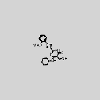 COc1ccccc1N1CC(c2nc(NC3CCCCC3)c(C=N)c(=O)[nH]2)C1